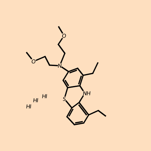 CCc1cccc2c1Nc1c(CC)cc(N(CCOC)CCOC)cc1S2.I.I.I